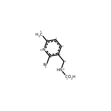 Cc1ccc(CNC(=O)O)c(Br)n1